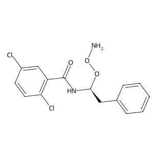 NOO[C@@H](Cc1ccccc1)NC(=O)c1cc(Cl)ccc1Cl